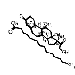 CCCCCCCCCCCCCC(=O)O.C[C@]12CCC(=O)C=C1CC[C@@H]1[C@@H]2[C@@H](O)C[C@@]2(C)[C@H]1CC[C@]2(O)C(=O)CO